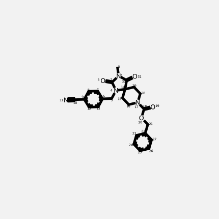 CN1C(=O)N(Cc2ccc(C#N)cc2)C2(CCN(C(=O)OCc3ccccc3)CC2)C1=O